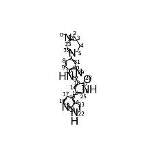 CN1CC2CCN(c3ccc4[nH]c(-c5cc(-c6ccnc7[nH]ccc67)c[nH]c5=O)nc4c3)CC1C2